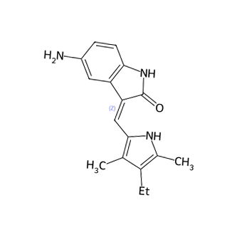 CCc1c(C)[nH]c(/C=C2\C(=O)Nc3ccc(N)cc32)c1C